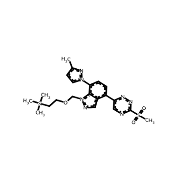 Cc1ccn(-c2ccc(-c3cnc(S(C)(=O)=O)nn3)c3cnn(COCC[Si](C)(C)C)c23)n1